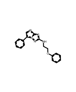 c1ccc(OCCNc2nn3c(-c4ccccc4)cnc3s2)cc1